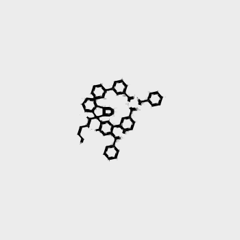 C=C/C=C\C1=C(C)C2(c3cc4c(cc3O1)c(-c1ccccc1)nc1ccc(-c3nc(-c5ccccc5)nc(-c5cccc(-c6ccccc6)c5)n3)cc14)c1ccccc1-c1ccccc12